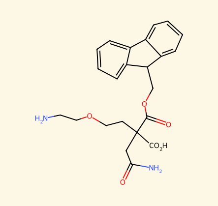 NCCOCCC(CC(N)=O)(C(=O)O)C(=O)OCC1c2ccccc2-c2ccccc21